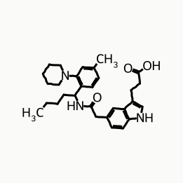 CCCCC(NC(=O)Cc1ccc2[nH]cc(CCC(=O)O)c2c1)c1ccc(C)cc1N1CCCCC1